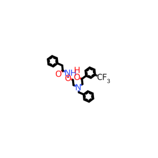 O=C(Cc1ccccc1)NOCCN(Cc1ccccc1)CC(O)c1cccc(C(F)(F)F)c1